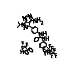 CC(C)n1nc(-c2ccc(NC(=O)Nc3cccc(C(F)(C(F)(F)F)C(F)(F)C(F)(F)F)c3)cc2)c2c(N)ncnc21.O=C(O)C(F)(F)F